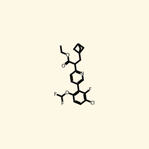 CCOC(=O)C(CC12CC(C1)C2)c1ccc(-c2c(OC(F)F)ccc(Cl)c2F)cn1